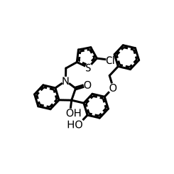 O=C1N(Cc2ccc(Cl)s2)c2ccccc2C1(O)c1cc(OCc2ccccc2)ccc1O